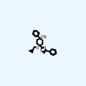 N#C[C@]1(c2ccccc2)CC[C@@](OCC2CC2)(c2nc(-c3ccccc3)cs2)CC1